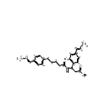 NN=Cc1ccc(CCCCC(=O)NC(CC(=O)O)c2ccc(C=NN)cc2)cc1